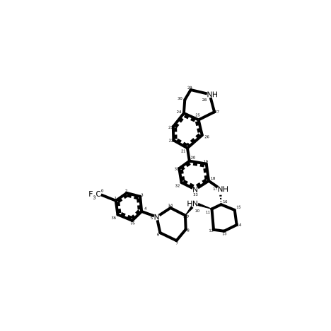 FC(F)(F)c1ccc(N2CCC[C@H](N[C@@H]3CCCC[C@H]3Nc3cc(-c4ccc5c(c4)CNCC5)ccn3)C2)cc1